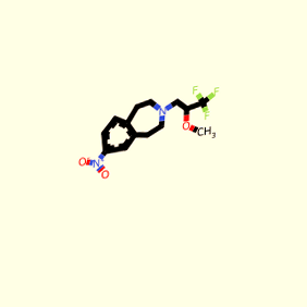 COC(CN1CCc2ccc([N+](=O)[O-])cc2CC1)C(F)(F)F